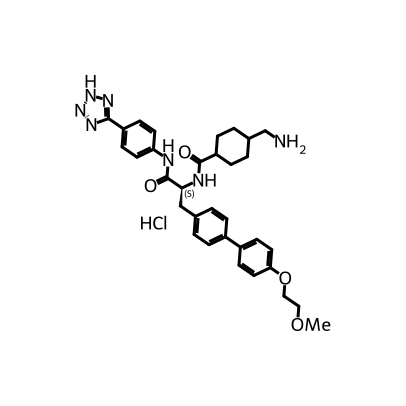 COCCOc1ccc(-c2ccc(C[C@H](NC(=O)C3CCC(CN)CC3)C(=O)Nc3ccc(-c4nn[nH]n4)cc3)cc2)cc1.Cl